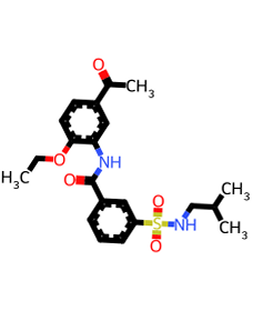 CCOc1ccc(C(C)=O)cc1NC(=O)c1cccc(S(=O)(=O)NCC(C)C)c1